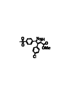 COC(=O)c1[nH]nc(-c2ccc(S(C)(=O)=O)cc2)c1-c1ccc(Cl)cc1